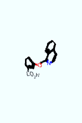 O=C(O)c1cccc(OCc2nccc3ccccc23)c1